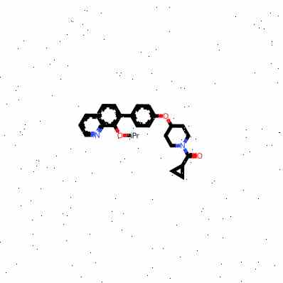 CC(C)Oc1c(-c2ccc(OC3CCN(C(=O)C4CC4)CC3)cc2)ccc2cccnc12